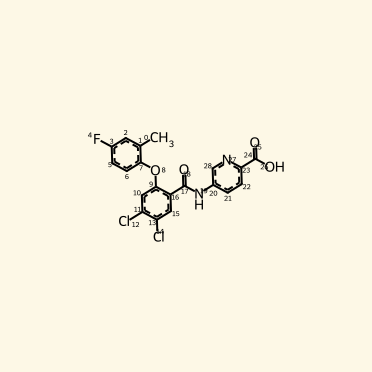 Cc1cc(F)ccc1Oc1cc(Cl)c(Cl)cc1C(=O)Nc1ccc(C(=O)O)nc1